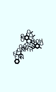 CCS[C@@H]1c2c(OC(C)=O)c(C)c3c(c2[C@H](COC(=O)NC(=O)c2cnn(-c4ccccc4)c2C(F)(F)F)N2[C@@H]1[C@H]1c4c(cc(C)c(OC)c4O)C[C@@H]([C@@H]2O)N1C)OCO3